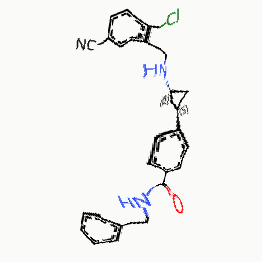 N#Cc1ccc(Cl)c(CN[C@@H]2C[C@H]2c2ccc(C(=O)NCc3ccccc3)cc2)c1